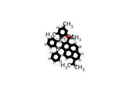 Cc1cc(C)c(B2c3ccccc3N(c3ccccc3)c3c2c(C(C)C)c2ccc4ccc(C(C)C)c5ccc3c2c45)c(C)c1